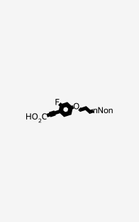 CCCCCCCCCCCCOc1ccc(C#CC(=O)O)c(F)c1